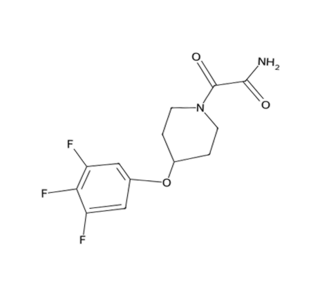 NC(=O)C(=O)N1CCC(Oc2cc(F)c(F)c(F)c2)CC1